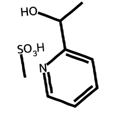 CC(O)c1ccccn1.CS(=O)(=O)O